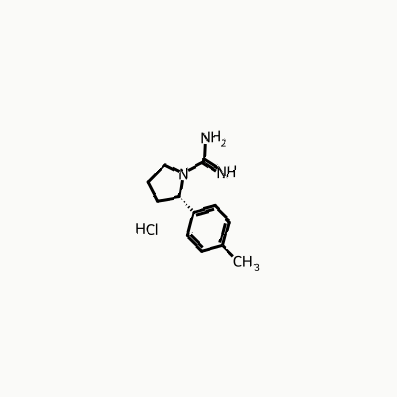 Cc1ccc([C@@H]2CCCN2C(=N)N)cc1.Cl